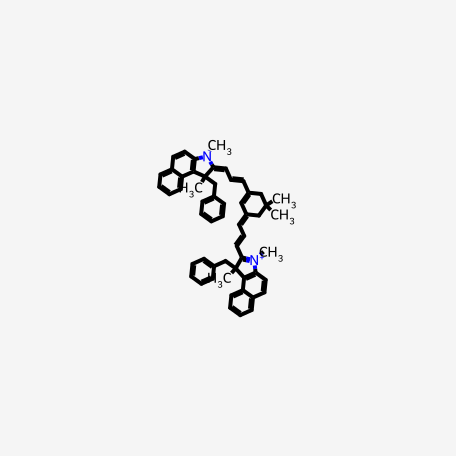 CN1/C(=C/C=C/C2=CC(=C/C=C/C3=[N+](C)c4ccc5ccccc5c4C3(C)Cc3ccccc3)/CC(C)(C)C2)C(C)(Cc2ccccc2)c2c1ccc1ccccc21